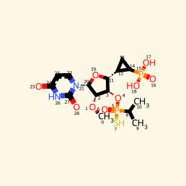 CO[C@H]1[C@@H](OP(=O)(S)C(C)C)[C@@H](C2CC2P(=O)(O)O)O[C@H]1n1ccc(=O)[nH]c1=O